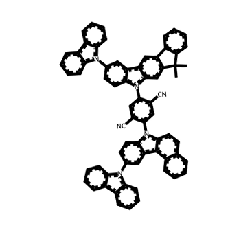 CC1(C)c2ccccc2-c2cc3c4cc(-n5c6ccccc6c6ccccc65)ccc4n(-c4cc(C#N)c(-n5c6ccc(-n7c8ccccc8c8ccccc87)cc6c6c7ccccc7ccc65)cc4C#N)c3cc21